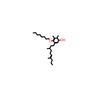 CCCCCCCCOC1=C(C)C(C)C(O)C=C1CCC(C)CC/C=C(\C)CCC